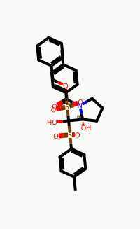 Cc1ccc(S(=O)(=O)C(O)([C@]2(O)CCCN2C(=O)OCc2ccccc2)S(=O)(=O)c2ccc(C)cc2)cc1